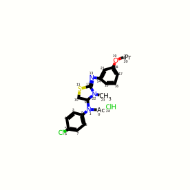 CC(=O)N(c1ccc(Cl)cc1)C1CSC(=Nc2cccc(OC(C)C)c2)N1C.Cl